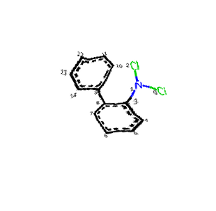 ClN(Cl)c1ccccc1-c1ccccc1